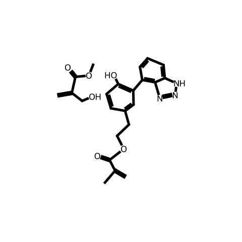 C=C(C)C(=O)OCCc1ccc(O)c(-c2cccc3[nH]nnc23)c1.C=C(CO)C(=O)OC